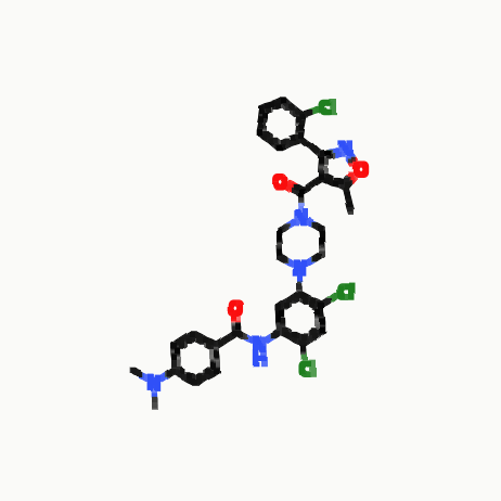 Cc1onc(-c2ccccc2Cl)c1C(=O)N1CCN(c2cc(NC(=O)c3ccc(N(C)C)cc3)c(Cl)cc2Cl)CC1